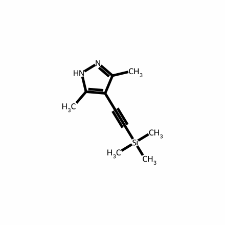 Cc1n[nH]c(C)c1C#C[Si](C)(C)C